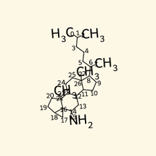 CC(C)CCCC(C)C1CCC2C3CC(N)C45CC4CCC5(C)C3CCC12C